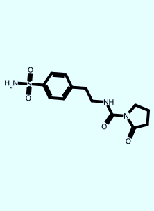 NS(=O)(=O)c1ccc(CCNC(=O)N2CCCC2=O)cc1